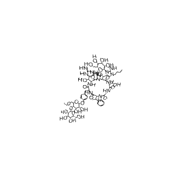 CCCCN1CC(C(O)C2NC(=O)C(C(O)C3CNC(=N)N3)NC(=O)C(Cc3ccc(OC4OC(CO)C(OC5OC(CO)C(O)C(O)C5O)C(O)C4O)cc3)NC(=O)C(C(C)c3ccccc3)NC(=O)CNC(=O)C(CO)NC2=O)N(C2OC(CO)C(O)C(O)C2O)C1=N